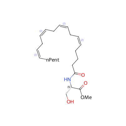 CCCCC/C=C\C/C=C\C/C=C\C/C=C\CCCC(=O)N[C@@H](CO)C(=O)OC